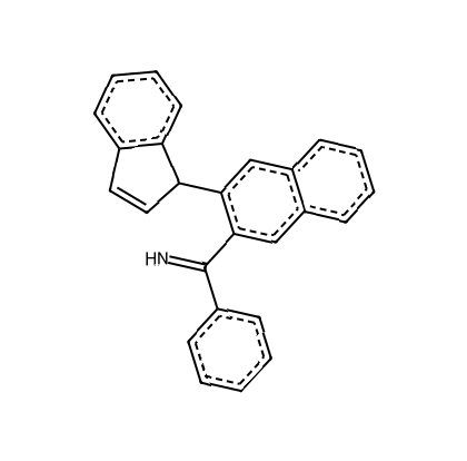 N=C(c1ccccc1)c1cc2ccccc2cc1C1C=Cc2ccccc21